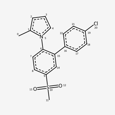 Cc1cccn1-c1ccc(S(C)(=O)=O)cc1-c1ccc(Cl)cc1